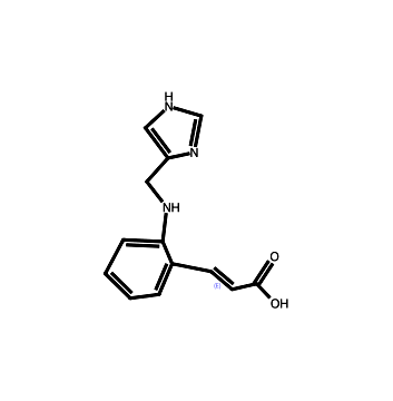 O=C(O)/C=C/c1ccccc1NCc1c[nH]cn1